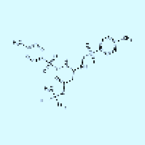 Cc1ccc(S(=O)(=O)ONC(CC(=O)OC(C)(C)C)NOS(=O)(=O)c2ccc(C)cc2)cc1